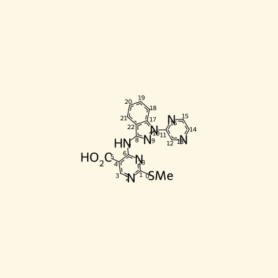 CSc1ncc(C(=O)O)c(Nc2nn(-c3cnccn3)c3ccccc23)n1